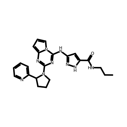 CCCNC(=O)c1cc(Nc2nc(N3CCCC3c3ccccn3)nc3cccn23)n[nH]1